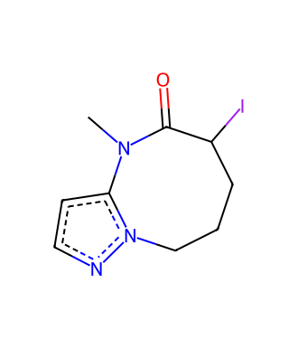 CN1C(=O)C(I)CCCn2nccc21